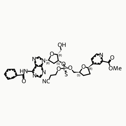 COC(=O)c1cc([C@H]2CC[C@@H](COP(=S)(OCCC#N)O[C@H]3C[C@H](n4cnc5c(NC(=O)c6ccccc6)ncnc54)O[C@@H]3CO)O2)ccn1